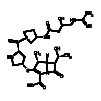 C[C@@H](O)[C@H]1C(=O)N2C(C(=O)O)=C(S[C@@H]3CN[C@H](C(=O)N4CC[C@H](NC(=O)CC(O)CNC(=N)N)C4)C3)[C@H](C)[C@H]12